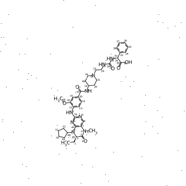 CC[C@@H]1C(=O)N(C)c2cnc(Nc3ccc(C(=O)NC4CCN(CCNC(=O)N[C@H](C(=O)O)c5ccccc5)CC4)cc3OC)nc2N1C1CCCC1